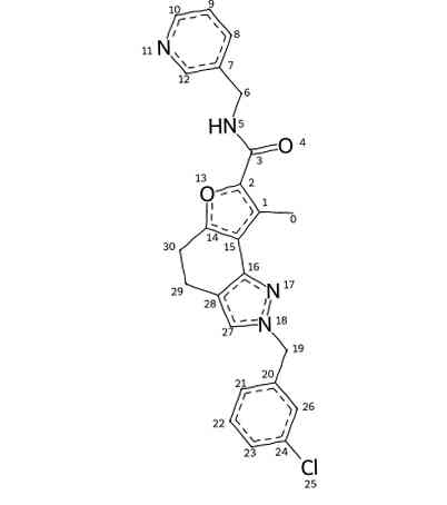 Cc1c(C(=O)NCc2cccnc2)oc2c1-c1nn(Cc3cccc(Cl)c3)cc1CC2